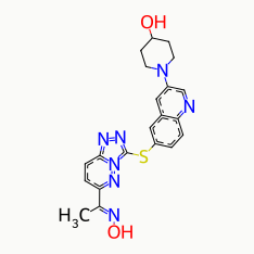 CC(=NO)c1ccc2nnc(Sc3ccc4ncc(N5CCC(O)CC5)cc4c3)n2n1